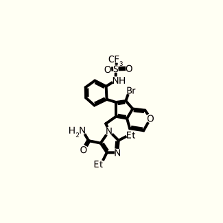 CCc1nc(CC)n(Cc2c3ccocc-3c(Br)c2-c2ccccc2NS(=O)(=O)C(F)(F)F)c1C(N)=O